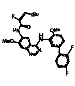 COc1cc2ncnc(Nc3cc(-c4ccc(F)cc4F)ccc3OC)c2cc1NC(=O)/C(F)=C\C(C)(C)C